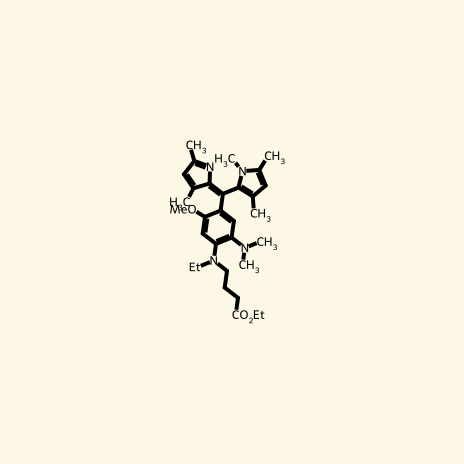 CCOC(=O)CCCN(CC)c1cc(OC)c(/C(=C2/N=C(C)C=C2C)c2c(C)cc(C)n2C)cc1N(C)C